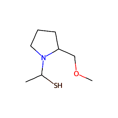 COCC1CCCN1C(C)S